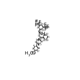 COc1ccc(N2CCN(C(CNCc3cc(C(F)(F)F)cc(C(F)(F)F)c3)c3ccccc3)CC2)cc1